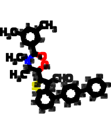 Cc1cc(C)cc(C(=O)N(C)[C@@H](C)C(=O)c2sc3cccc(-c4ccc(-c5ccccc5)cc4)c3c2C=O)c1